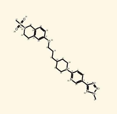 Cn1nnc(-c2ccc(N3CCC(CCCOc4ccc5c(c4)CCN(S(C)(=O)=O)C5)CC3)nc2)n1